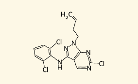 C=CCCn1nc(Nc2c(Cl)cccc2Cl)c2cnc(Cl)nc21